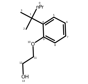 CCCC(C)(C)c1ccccc1OCCO